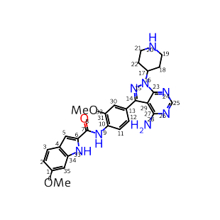 COc1ccc2cc(C(=O)Nc3ccc(-c4nn(C5CCNCC5)c5ncnc(N)c45)cc3OC)[nH]c2c1